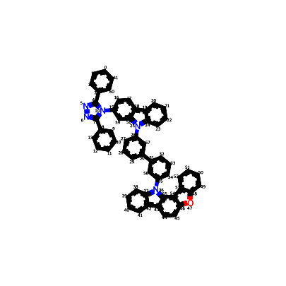 c1ccc(-c2nnc(-c3ccccc3)n2-c2ccc3c4ccccc4n(-c4cccc(-c5cccc(-n6c7ccccc7c7ccc8oc9ccccc9c8c76)c5)c4)c3c2)cc1